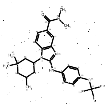 CC1CC(n2c(Nc3ccc(OC(F)(F)F)cc3)nc3cc(C(=O)N(C)C)ccc32)CC(C)(C)C1